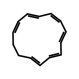 C1=C\C=C\C=C\C=C\CC\C=C/C=C/1